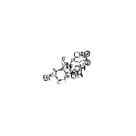 CC1c2cc(Br)ccc2S(O)(O)N1CCS(=O)(=O)Cl